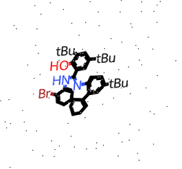 CC(C)(C)c1ccc(N2C3=C(NC2c2cc(C(C)(C)C)cc(C(C)(C)C)c2O)C(Br)=CCC3)c(C2=CCCCC2)c1